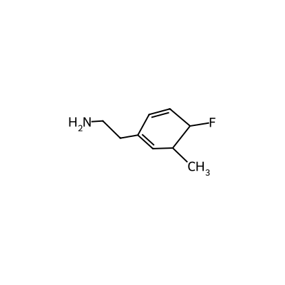 CC1C=C(CCN)C=CC1F